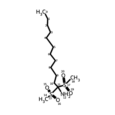 CCCCCCCCCCCC(N)(S(C)(=O)=O)S(C)(=O)=O